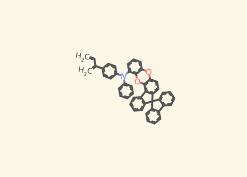 C=CC(=C)c1ccc(N(c2ccccc2)c2cccc3c2Oc2c(ccc4c2-c2ccccc2C42c4ccccc4-c4ccccc42)O3)cc1